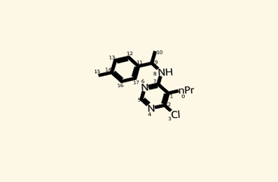 CCCc1c(Cl)ncnc1NC(C)c1ccc(C)cc1